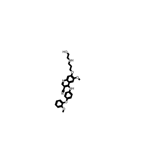 COc1cc2c(Nc3ccc(Oc4ccccc4OC)cc3)c(C#N)cnc2cc1OCCCNCCO